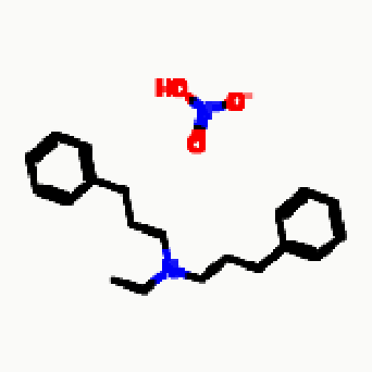 CCN(CCCc1ccccc1)CCCc1ccccc1.O=[N+]([O-])O